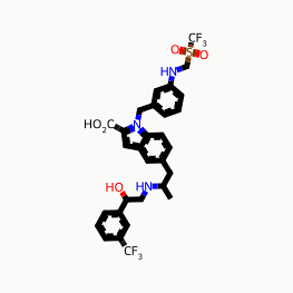 CC(Cc1ccc2c(c1)cc(C(=O)O)n2Cc1cccc(NCS(=O)(=O)C(F)(F)F)c1)NCC(O)c1cccc(C(F)(F)F)c1